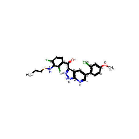 CCCSNc1c(F)ccc(C(=O)c2n[nH]c3ncc(-c4ccc(OC)cc4Cl)cc23)c1F